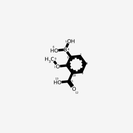 COc1c(B(O)O)cccc1C(=O)O